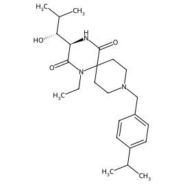 CCN1C(=O)[C@@H]([C@H](O)C(C)C)NC(=O)C12CCN(Cc1ccc(C(C)C)cc1)CC2